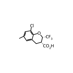 Cc1cc(Cl)c2c(c1)C[C@@H](C(=O)O)[C@@H](C(F)(F)F)O2